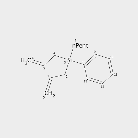 C=CC[Si](CC=C)(CCCCC)c1ccccc1